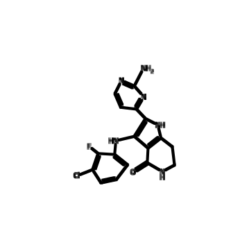 Nc1nccc(-c2[nH]c3c(c2Nc2cccc(Cl)c2F)C(=O)NCC3)n1